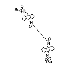 CN(Cc1c2ccccc2c(CNCC(=O)OC(C)(C)C)c2ccccc12)C(=O)CCCCCCCCCCC(=O)N(C)Cc1c2ccccc2c(CN(C)C(=O)OC(C)(C)C)c2ccccc12